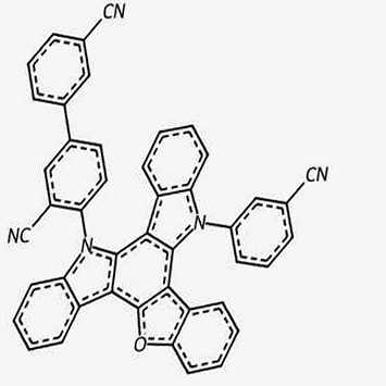 N#Cc1cccc(-c2ccc(-n3c4ccccc4c4c5oc6ccccc6c5c5c(c6ccccc6n5-c5cccc(C#N)c5)c43)c(C#N)c2)c1